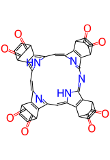 O=C1C(=O)C2C=CC1C1=C2c2cc3[nH]c(nc4nc(cc5[nH]c(cc1n2)c1c5C2C=CC1C(=O)C2=O)C1=C4C2C=CC1C(=O)C2=O)c1c3C2C=CC1C(=O)C2=O